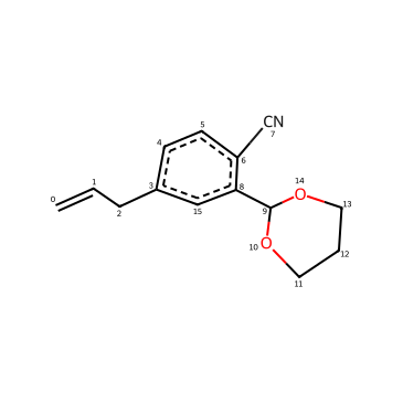 C=CCc1ccc(C#N)c(C2OCCCO2)c1